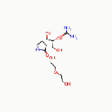 NC(N)=O.O=C1CCCN1.OCC(O)CO.OCCOCCO